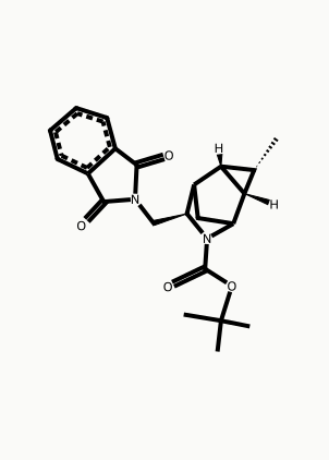 C[C@H]1[C@H]2C3CC([C@@H]12)N(C(=O)OC(C)(C)C)[C@H]3CN1C(=O)c2ccccc2C1=O